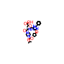 CC(C)OC(=O)N1CCN(C(=O)[C@H](CCC(=O)O)NC(=O)c2cc(OC3CCCC3)nc(-c3ccccc3)n2)CC1